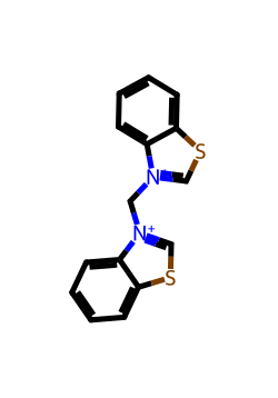 c1ccc2c(c1)sc[n+]2C[n+]1csc2ccccc21